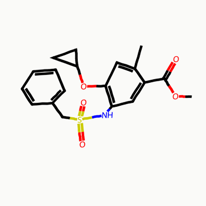 COC(=O)c1cc(NS(=O)(=O)Cc2ccccc2)c(OC2CC2)cc1C